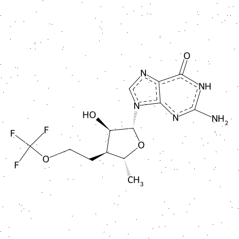 C[C@H]1O[C@@H](n2cnc3c(=O)[nH]c(N)nc32)[C@H](O)[C@@H]1CCOC(F)(F)F